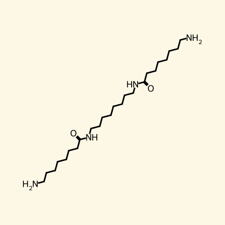 NCCCCCCCC(=O)NCCCCCCCCNC(=O)CCCCCCCN